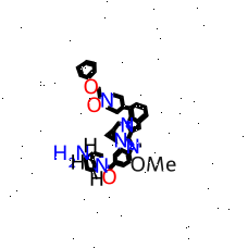 COc1cc(C(=O)N2C[C@H]3CC[C@@H]2C[C@@H]3N)cc2nc(-c3cc4cccc(C5CCN(C(=O)COc6ccccc6)CC5)c4n3CC3CC3)n(C)c12